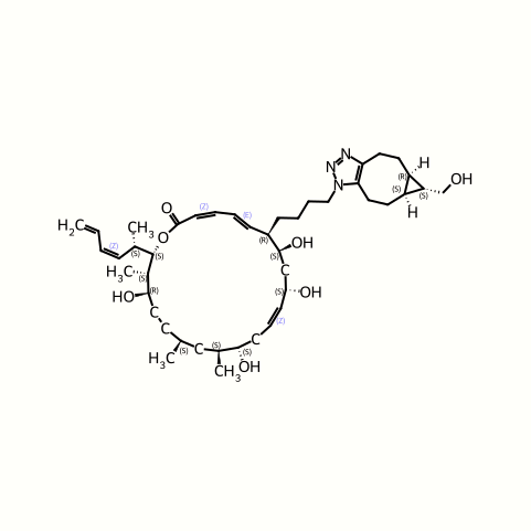 C=C/C=C\[C@H](C)[C@@H]1OC(=O)/C=C\C=C\[C@@H](CCCCn2nnc3c2CC[C@@H]2[C@@H](CO)[C@@H]2CC3)[C@@H](O)C[C@H](O)/C=C\C[C@H](O)[C@@H](C)C[C@@H](C)CC[C@@H](O)[C@@H]1C